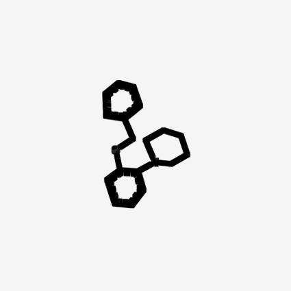 c1ccc(COc2ccccc2N2CCCCC2)cc1